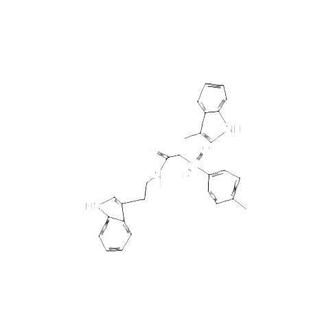 Cc1ccc(S(=O)(=O)[C@@H](Cc2c[nH]c3ccccc23)C(=O)NCCc2c[nH]c3ccccc23)cc1